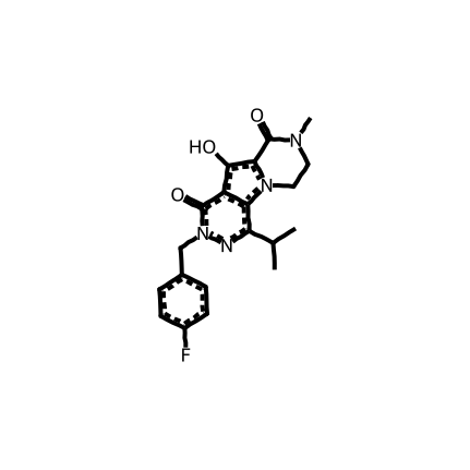 CC(C)c1nn(Cc2ccc(F)cc2)c(=O)c2c(O)c3n(c12)CCN(C)C3=O